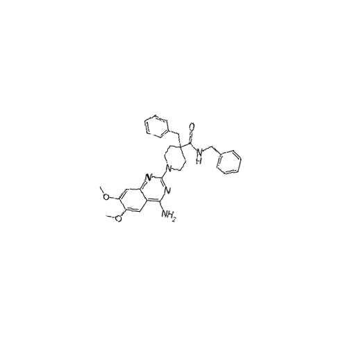 COc1cc2nc(N3CCC(Cc4ccccc4)(C(=O)NCc4ccccc4)CC3)nc(N)c2cc1OC